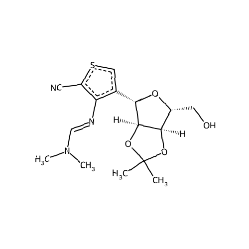 CN(C)/C=N/c1c([C@@H]2O[C@H](CO)[C@H]3OC(C)(C)O[C@H]32)csc1C#N